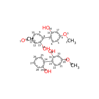 C=O.COc1ccc(-c2ccccc2O)c(O)c1.COc1ccc(-c2ccccc2O)c(O)c1